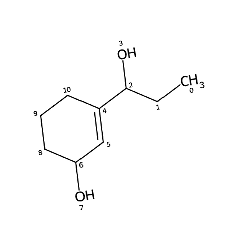 CCC(O)C1=CC(O)CCC1